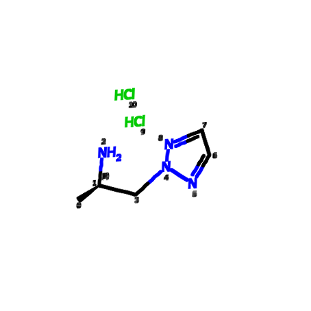 C[C@@H](N)Cn1nccn1.Cl.Cl